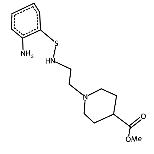 COC(=O)C1CCN(CCNSc2ccccc2N)CC1